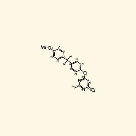 COc1ccc(C(C)(C)c2ccc(Oc3nc(C)nc(Cl)n3)cc2)cc1